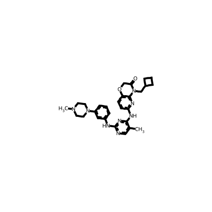 Cc1cnc(Nc2cccc(N3CCN(C)CC3)c2)nc1Nc1ccc2c(n1)N(CC1CCC1)C(=O)CO2